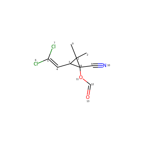 CC1(C)C(C=C(Cl)Cl)C1(C#N)OC=O